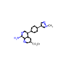 CCOC(=O)c1cnc2c(N)ncc(-c3ccc(-c4cnn(C)c4)cc3)c2c1